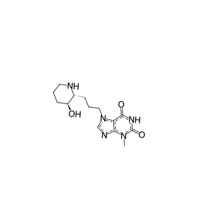 Cn1c(=O)[nH]c(=O)c2c1ncn2CCC[C@H]1NCCC[C@@H]1O